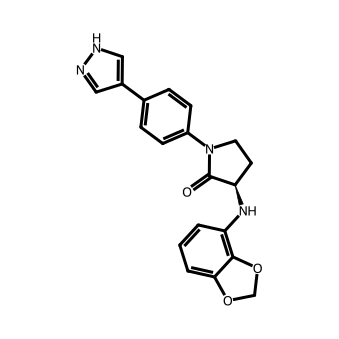 O=C1[C@H](Nc2cccc3c2OCO3)CCN1c1ccc(-c2cn[nH]c2)cc1